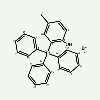 Cc1ccc(O)c([P+](c2ccccc2)(c2ccccc2)c2ccccc2)c1.[Br-]